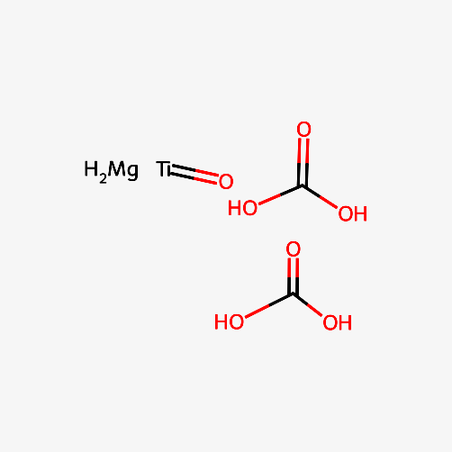 O=C(O)O.O=C(O)O.[MgH2].[O]=[Ti]